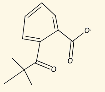 CC(C)(C)C(=O)c1ccccc1C([O])=O